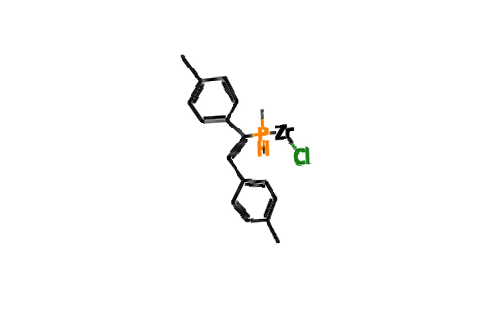 Cc1ccc(C=C(c2ccc(C)cc2)[PH](C)(C)[Zr][Cl])cc1